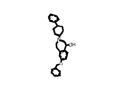 OC1CN(C2CCC(c3ccccc3)CC2)CCc2cc(OCc3ccccc3)ccc21